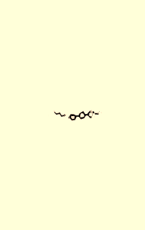 CCCCCC(=O)Oc1ccc(-c2ccc(-c3cnc(C#N)nc3)cc2)cc1